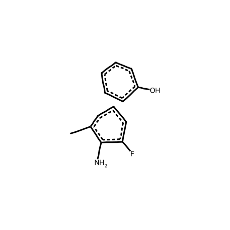 Cc1cccc(F)c1N.Oc1ccccc1